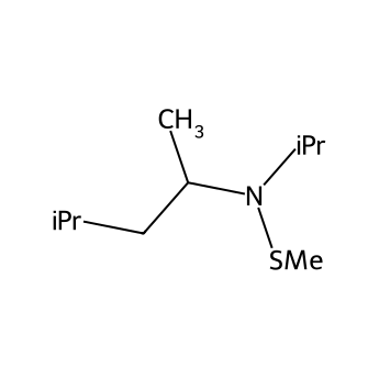 CSN(C(C)C)C(C)CC(C)C